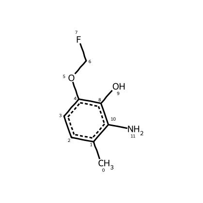 Cc1ccc(OCF)c(O)c1N